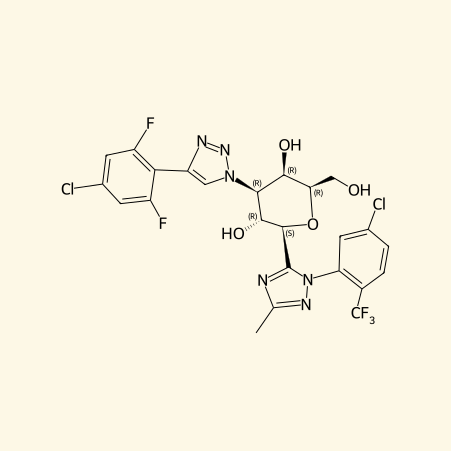 Cc1nc([C@@H]2O[C@H](CO)[C@H](O)[C@H](n3cc(-c4c(F)cc(Cl)cc4F)nn3)[C@H]2O)n(-c2cc(Cl)ccc2C(F)(F)F)n1